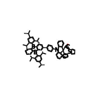 CC(C)c1cc(C(C)C)c(B2c3ccccc3B(c3c(C(C)C)cc(C(C)C)cc3C(C)C)c3cc(-c4ccc(N5c6ccccc6C6(c7ccccc75)c5ccccc5[Si]5(C=CC=C5)c5ccccc56)cc4)ccc32)c(C(C)C)c1